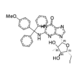 COc1ccc(C(Nc2nc3c(ncn3[C@@H]3O[C@H](CI)[C@@H](O)[C@@]3(C)O)c(=O)[nH]2)(c2ccccc2)c2ccccc2)cc1